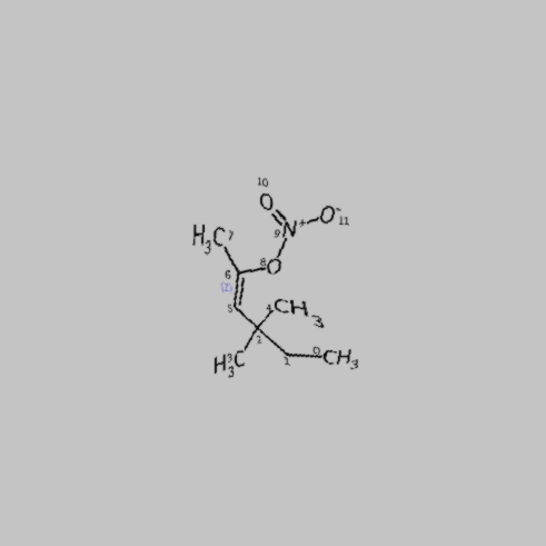 CCC(C)(C)/C=C(/C)O[N+](=O)[O-]